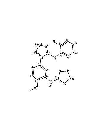 COc1ccc(-c2n[nH]cc2Cc2ccccc2C)cc1OC1CCCC1